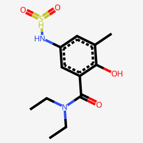 CCN(CC)C(=O)c1cc(N[SH](=O)=O)cc(C)c1O